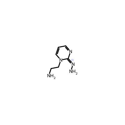 NCCn1cccn/c1=N/N